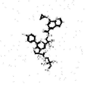 CC(C)(CO)CNC(=O)[C@@]1(C)COc2c1cc([C@@](O)(CNC(=O)c1cc(OC3CC3)c3ncccc3c1)C(F)(F)F)nc2-c1ccc(F)cc1